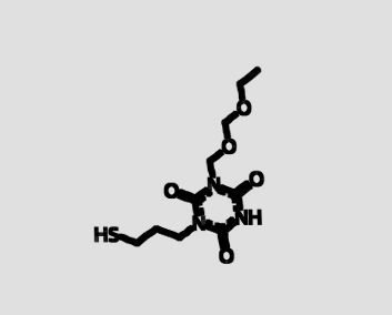 CCOCOCn1c(=O)[nH]c(=O)n(CCCS)c1=O